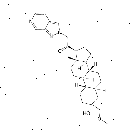 COC[C@@]1(O)CC[C@H]2[C@@H](CC[C@@H]3[C@@H]2CC[C@]2(C)[C@@H](C(=O)Cn4cc5ccncc5n4)CC[C@@H]32)C1